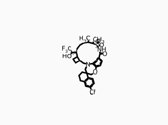 CC1CCC[C@H]([C@@H](O)C(F)(F)F)C2CCC2CN2CC3(CCCc4cc(Cl)ccc43)COc3ccc(cc32)C(=O)NS(=O)(=O)C1C